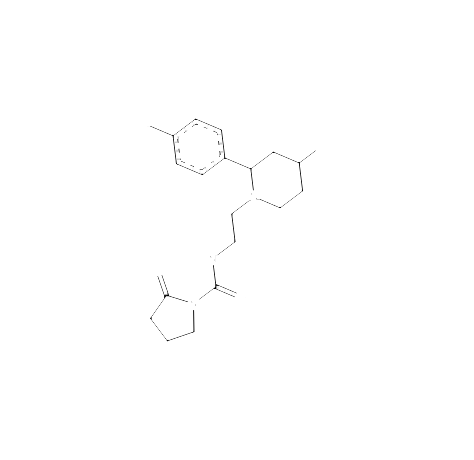 O=C1CCCN1C(=O)NCCN1CCC(O)CC1c1ccc(Cl)cc1